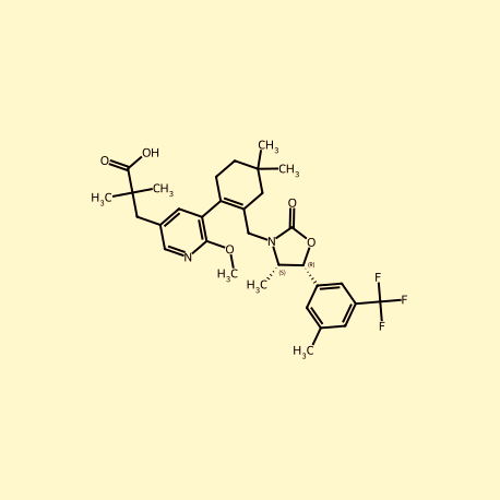 COc1ncc(CC(C)(C)C(=O)O)cc1C1=C(CN2C(=O)O[C@H](c3cc(C)cc(C(F)(F)F)c3)[C@@H]2C)CC(C)(C)CC1